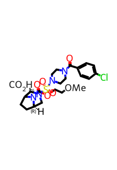 COCCOC(=O)N1C2CC[C@@H]1CN(S(=O)(=O)N1CCN(C(=O)c3ccc(Cl)cc3)CC1)[C@H]2C(=O)O